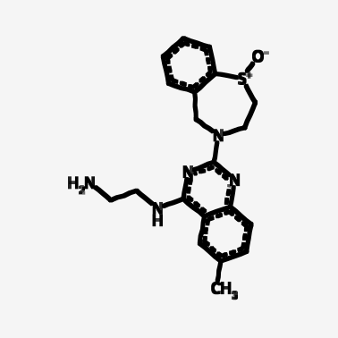 Cc1ccc2nc(N3CC[S+]([O-])c4ccccc4C3)nc(NCCN)c2c1